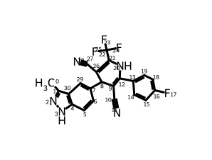 Cc1n[nH]c2ccc(C3C(C#N)=C(c4ccc(F)cc4)NC(C(F)(F)F)=C3C#N)cc12